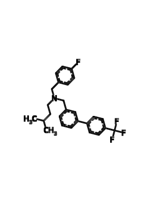 CC(C)CCN(Cc1ccc(F)cc1)Cc1cccc(-c2ccc(C(F)(F)F)cc2)c1